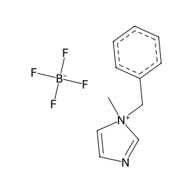 C[N+]1(Cc2ccccc2)C=CN=C1.F[B-](F)(F)F